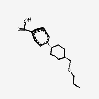 CCCOC[C@H]1CC[C@H](c2ccc(C(=O)O)cc2)CC1